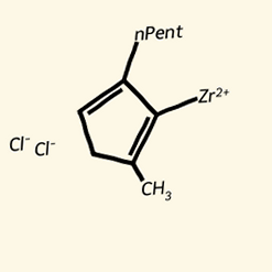 CCCCCC1=CCC(C)=[C]1[Zr+2].[Cl-].[Cl-]